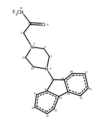 O=C(CN1CCN(C2c3ccccc3-c3ccccc32)CC1)NC(F)(F)F